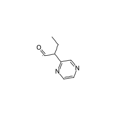 CCC([C]=O)c1cnccn1